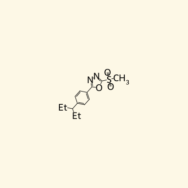 CCC(CC)c1ccc(-c2nnc(S(C)(=O)=O)o2)cc1